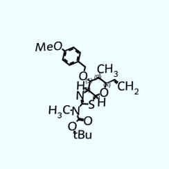 C=C[C@H]1O[C@@H]2SC(N(C)C(=O)OC(C)(C)C)=N[C@@H]2[C@@H](OCc2ccc(OC)cc2)[C@@H]1C